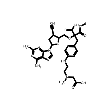 C#CC1CC(n2cnc3c(N)nc(C)nc32)OC1COC(Cc1ccc(NCCN(C)CC(=O)O)cc1)(C(=O)O)C(=O)OI